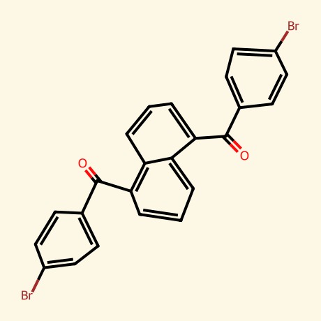 O=C(c1ccc(Br)cc1)c1cccc2c(C(=O)c3ccc(Br)cc3)cccc12